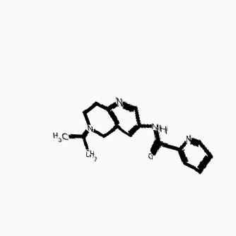 CC(C)N1CCc2ncc(NC(=O)c3ccccn3)cc2C1